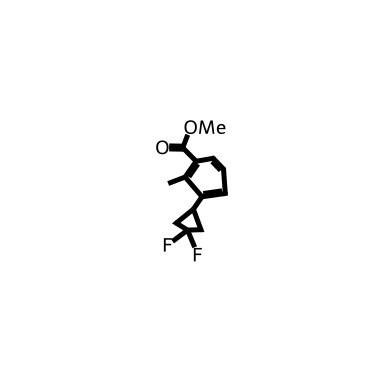 COC(=O)c1cccc(C2CC(F)(F)C2)c1C